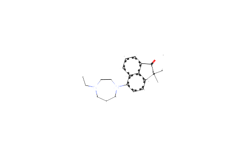 CCN1CCCN(c2ccc3c4c(cccc24)C(=O)C3(C)C)CC1